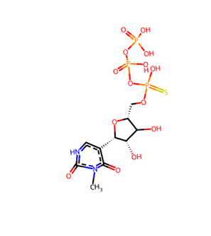 Cn1c(=O)[nH]cc([C@@H]2O[C@H](COP(O)(=S)OP(=O)(O)OP(=O)(O)O)C(O)[C@@H]2O)c1=O